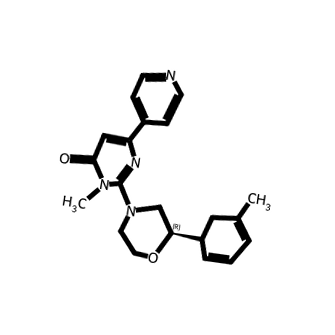 CC1=CC=CC([C@@H]2CN(c3nc(-c4ccncc4)cc(=O)n3C)CCO2)C1